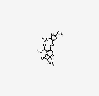 Cc1nc(C)c(SCC2=C(C(=O)O)N3C(=O)C(N)[C@H]3SC2)s1